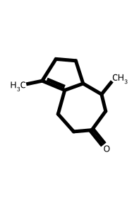 CC1=C2CCC(=O)CC(C)C2CC1